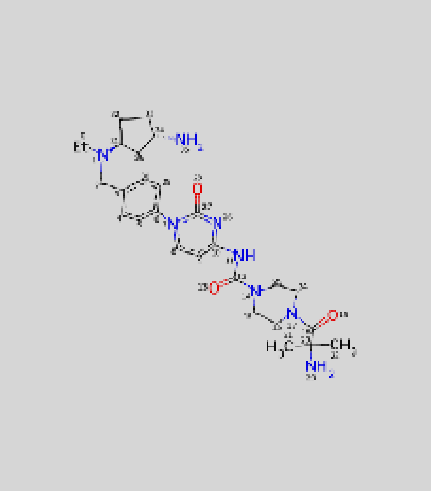 CCN(Cc1ccc(-n2ccc(NC(=O)N3CCN(C(=O)C(C)(C)N)CC3)nc2=O)cc1)[C@H]1CC[C@H](N)C1